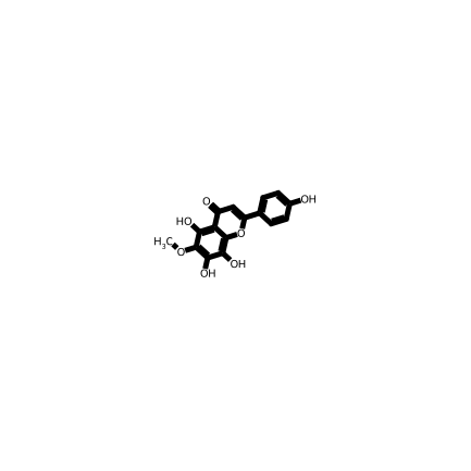 COc1c(O)c(O)c2oc(-c3ccc(O)cc3)cc(=O)c2c1O